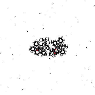 CC(CCCN([Si](c1ccccc1)(c1ccccc1)C(C)(C)C)[Si](c1ccccc1)(c1ccccc1)C(C)(C)C)(CCOCCC(C)(CCCN([Si](c1ccccc1)(c1ccccc1)C(C)(C)C)[Si](c1ccccc1)(c1ccccc1)C(C)(C)C)[SiH](Cl)Cl)[SiH](Cl)Cl